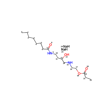 CCCCCCCC(=O)NCCC(O)CNCCOC(=O)CC.[NaH].[NaH]